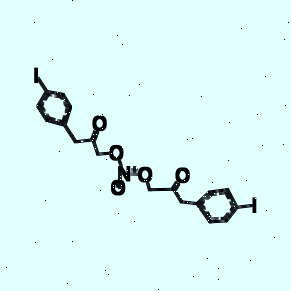 O=C(CO[N+](=O)OCC(=O)Cc1ccc(I)cc1)Cc1ccc(I)cc1